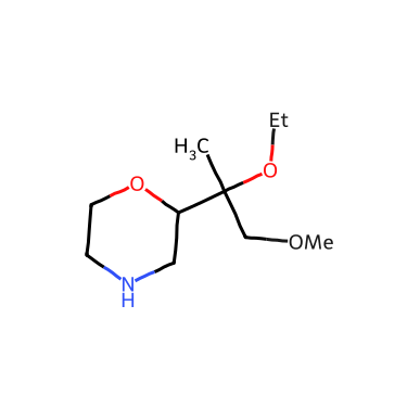 CCOC(C)(COC)C1CNCCO1